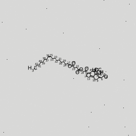 C/C=C\[C@@]1(C)/C(=C\C=O)CCC2C3CC[C@H](C(=O)COC(=O)CCC(=O)OCCCCCCCC/C=C\CCCCCCC)C3CC(=O)C21